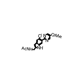 COc1cnc(-c2cc3[nH]c(CNC(C)=O)cc3cc2Cl)nc1